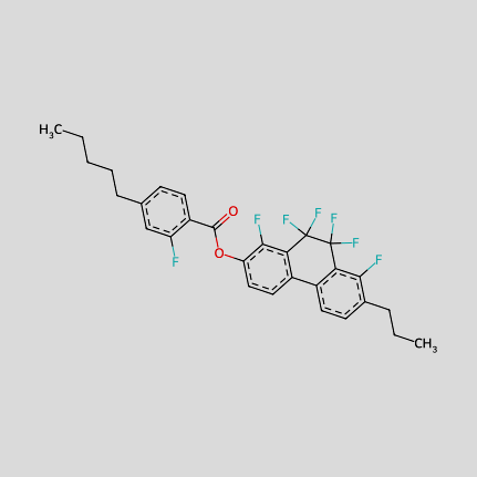 CCCCCc1ccc(C(=O)Oc2ccc3c(c2F)C(F)(F)C(F)(F)c2c-3ccc(CCC)c2F)c(F)c1